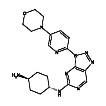 N[C@H]1CC[C@H](Nc2ncc3nnn(-c4ccc(N5CCOCC5)cn4)c3n2)CC1